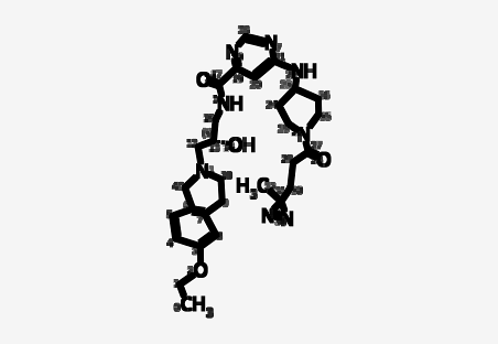 CCOc1ccc2c(c1)CCN(C[C@@H](O)CNC(=O)c1cc(NC3CCN(C(=O)CCC4(C)N=N4)CC3)ncn1)C2